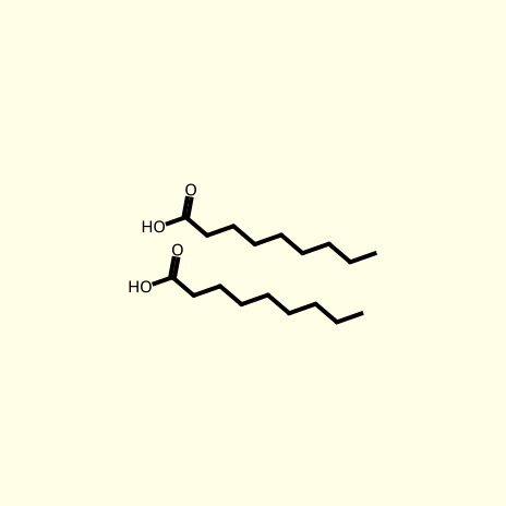 CCCCCCCCC(=O)O.CCCCCCCCC(=O)O